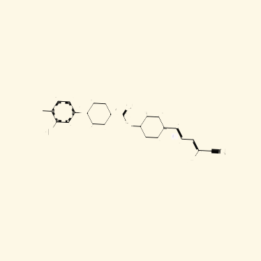 N#CC(F)=C/C=C/C1CCC(OC(=O)[C@H]2CC[C@H](c3ccc(F)c(F)c3)CC2)CC1